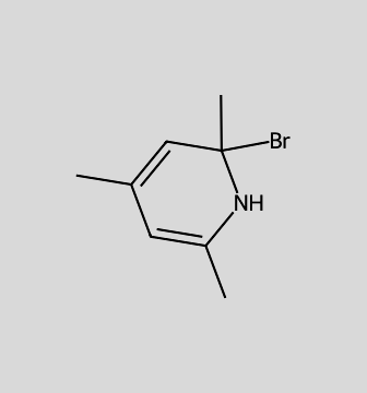 CC1=CC(C)(Br)NC(C)=C1